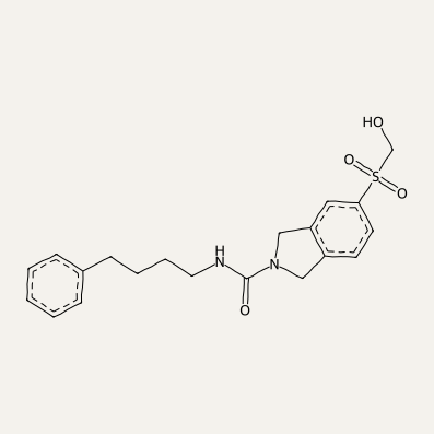 O=C(NCCCCc1ccccc1)N1Cc2ccc(S(=O)(=O)CO)cc2C1